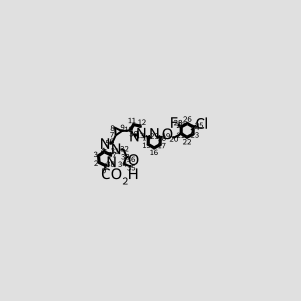 O=C(O)c1ccc2nc(C3CC3c3ccn(-c4cccc(OCc5ccc(Cl)cc5F)n4)n3)n(CC3CCO3)c2n1